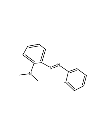 CN(C)c1ccccc1/N=N/c1[c]cccc1